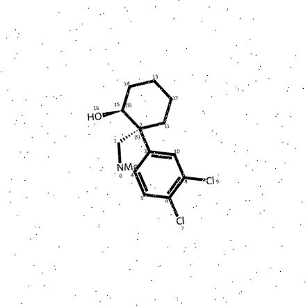 CNC[C@@]1(c2ccc(Cl)c(Cl)c2)CCCC[C@@H]1O